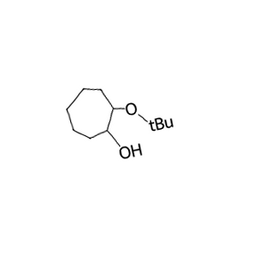 CC(C)(C)OC1CCCCCC1O